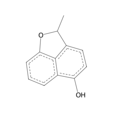 CC1Oc2cccc3c(O)ccc1c23